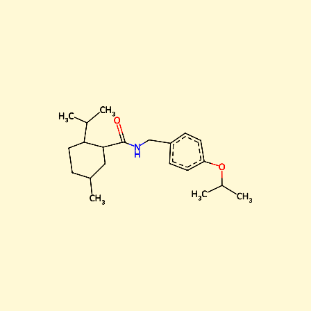 CC1CCC(C(C)C)C(C(=O)NCc2ccc(OC(C)C)cc2)C1